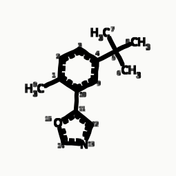 Cc1ccc(C(C)(C)C)cc1-c1cnco1